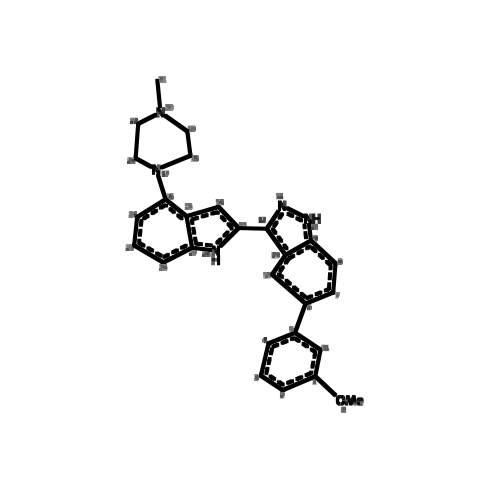 COc1cccc(-c2ccc3[nH]nc(-c4cc5c(N6CCN(C)CC6)cccc5[nH]4)c3c2)c1